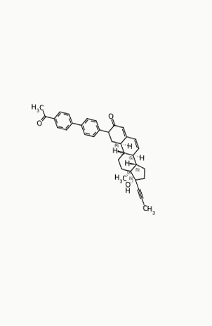 CC#C[C@]1(O)CC[C@H]2[C@@H]3C=CC4=CC(=O)C(c5ccc(-c6ccc(C(C)=O)cc6)cc5)C[C@@H]4[C@H]3CC[C@@]21C